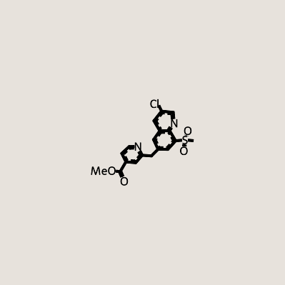 COC(=O)c1ccnc(Cc2cc(S(C)(=O)=O)c3ncc(Cl)cc3c2)c1